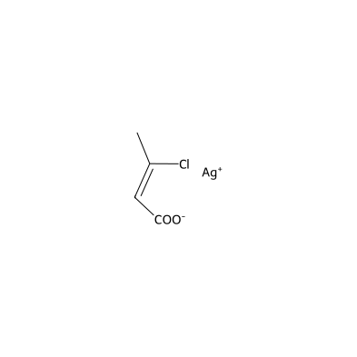 CC(Cl)=CC(=O)[O-].[Ag+]